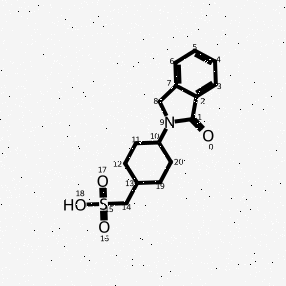 O=C1c2ccccc2CN1C1CCC(CS(=O)(=O)O)CC1